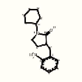 Nc1ccccc1CC1CCN(C2CCCCC2)C1=O